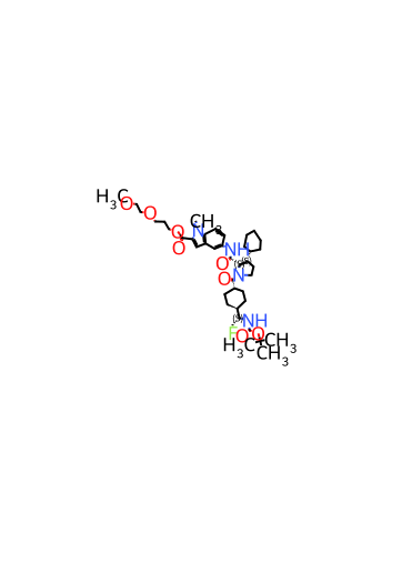 COCCOCCCOC(=O)c1cc2cc(NC(=O)[C@@H]3[C@H](C4CCCCC4)CCN3C(=O)[C@H]3CC[C@H]([C@@H](CF)NC(=O)OC(C)(C)C)CC3)ccc2n1C